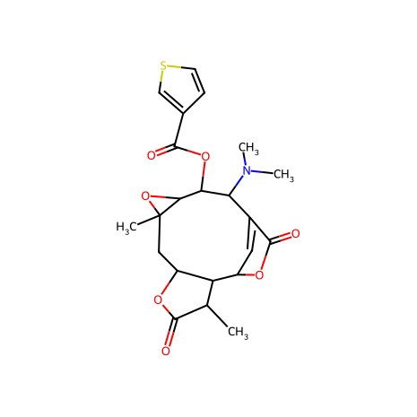 CC1C(=O)OC2CC3(C)OC3C(OC(=O)c3ccsc3)C(N(C)C)C3=CC(OC3=O)C21